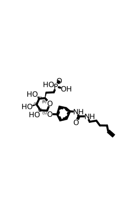 C#CCCCCNC(=O)Nc1ccc(O[C@@H]2O[C@H](CCP(=O)(O)O)[C@@H](O)[C@H](O)[C@@H]2O)cc1